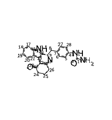 NC(=O)Nc1ccc(Cc2nc3c(c4c2[nH]c2ccccc24)C(=O)CCC3)cc1